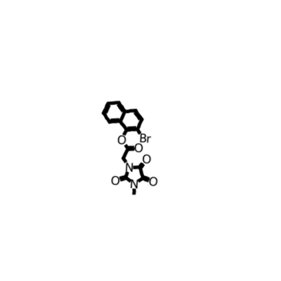 CN1C(=O)C(=O)N(CC(=O)Oc2c(Br)ccc3ccccc23)C1=O